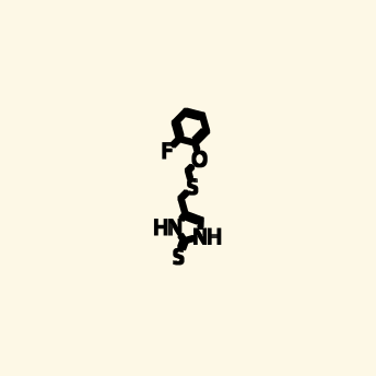 Fc1ccccc1OCSCc1c[nH]c(=S)[nH]1